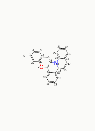 Cc1ccc(C)c(OCc2ccccc2C2C=Cc3ccccc3N2C)c1